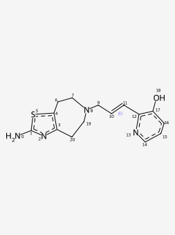 Nc1nc2c(s1)CCN(C/C=C/c1ncccc1O)CC2